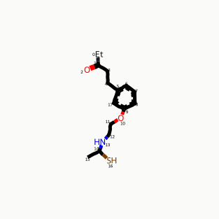 CCC(=O)CCc1cccc(OCCNC(C)S)c1